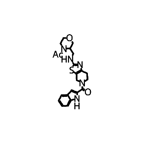 CC(=O)N1CCOCC1CNc1nc2c(s1)CN(C(=O)c1cc3ccccc3[nH]1)CC2